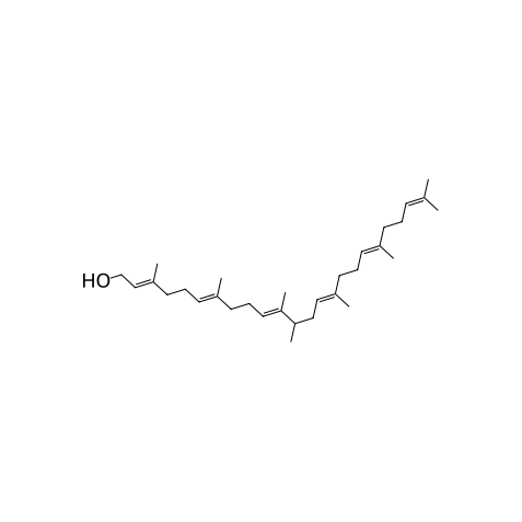 CC(C)=CCC/C(C)=C/CC/C(C)=C/CC(C)/C(C)=C/CC/C(C)=C/CC/C(C)=C/CO